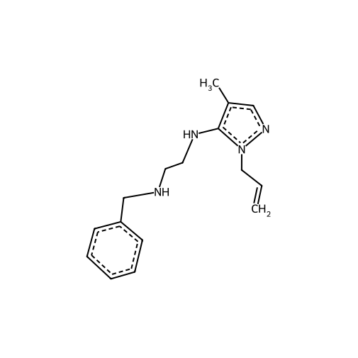 C=CCn1ncc(C)c1NCCNCc1ccccc1